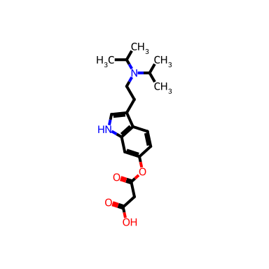 CC(C)N(CCc1c[nH]c2cc(OC(=O)CC(=O)O)ccc12)C(C)C